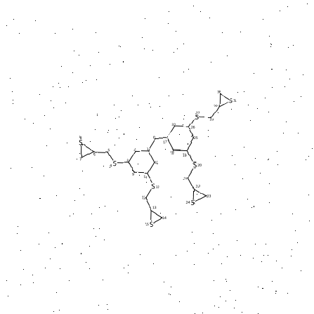 C(C1CC(SCC2CS2)CC(SCC2CS2)C1)C1CC(SCC2CS2)CC(SCC2CS2)C1